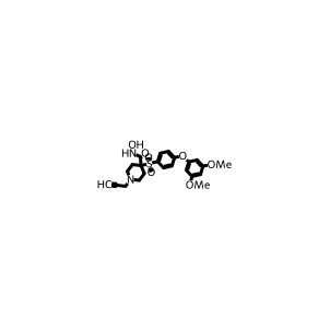 C#CCN1CCC(C(=O)NO)(S(=O)(=O)c2ccc(Oc3cc(OC)cc(OC)c3)cc2)CC1